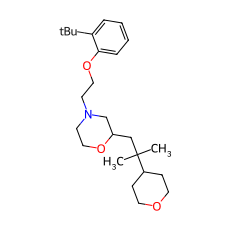 CC(C)(C)c1ccccc1OCCN1CCOC(CC(C)(C)C2CCOCC2)C1